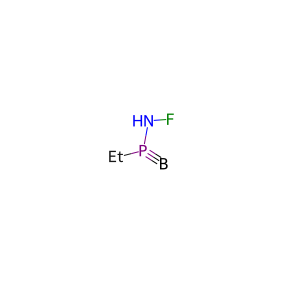 B#P(CC)NF